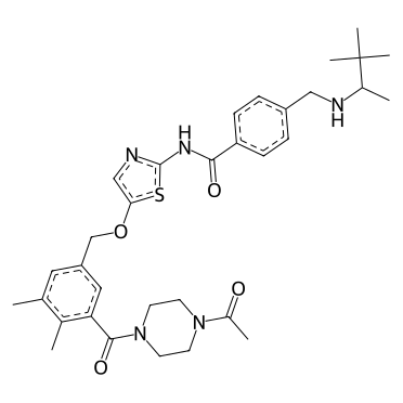 CC(=O)N1CCN(C(=O)c2cc(COc3cnc(NC(=O)c4ccc(CNC(C)C(C)(C)C)cc4)s3)cc(C)c2C)CC1